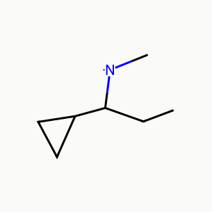 CCC([N]C)C1CC1